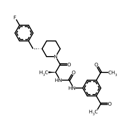 CC(=O)c1cc(NC(=O)N[C@@H](C)C(=O)N2CCC[C@@H](Cc3ccc(F)cc3)C2)cc(C(C)=O)c1